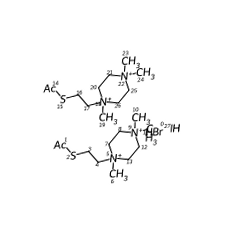 Br.CC(=O)SCC[N+]1(C)CC[N+](C)(C)CC1.CC(=O)SCC[N+]1(C)CC[N+](C)(C)CC1.I